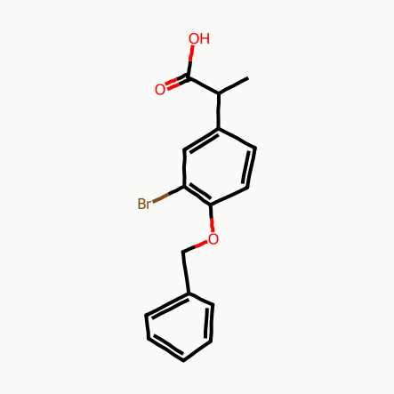 CC(C(=O)O)c1ccc(OCc2ccccc2)c(Br)c1